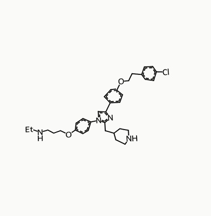 CCNCCCOc1ccc(-n2cc(-c3ccc(OCCc4ccc(Cl)cc4)cc3)nc2CC2CCNCC2)cc1